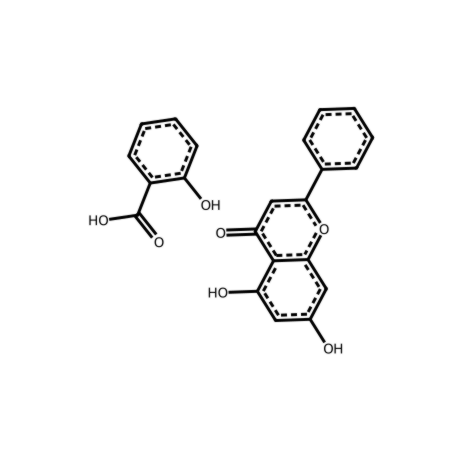 O=C(O)c1ccccc1O.O=c1cc(-c2ccccc2)oc2cc(O)cc(O)c12